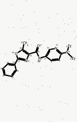 CCN(CC)c1ccc(NC(=O)c2nc(-c3ccccc3)oc2C(F)(F)F)cn1